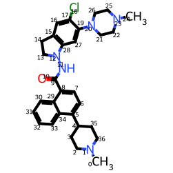 CN1CCC(c2ccc(C(=O)NN3CCc4cc(Cl)c(N5CCN(C)CC5)cc43)c3ccccc23)CC1